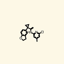 C=C(Nc1cc(C)cc(Cl)n1)C1(c2ccc3c(c2)CCO3)CC1